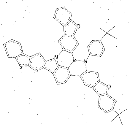 CC(C)(C)c1ccc(N2B3c4cc5oc6ccccc6c5cc4-n4c5cc6c(cc5c5ccc(c3c54)-c3cc4c(cc32)oc2cc(C(C)(C)C)ccc24)sc2ccccc26)cc1